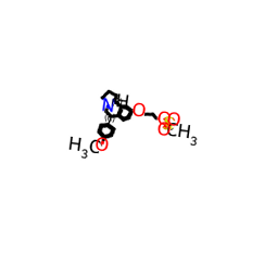 COc1ccc([C@H]2CN3CCC[C@@H]3c3cc(OCCCOS(C)(=O)=O)ccc32)cc1